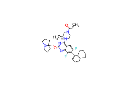 C=CC(=O)N1CCN(c2nc(OCC34CCCN3CCC4)nc3c(F)c(-c4cccc5c4CCCC5)c(F)cc23)[C@@H](C)C1